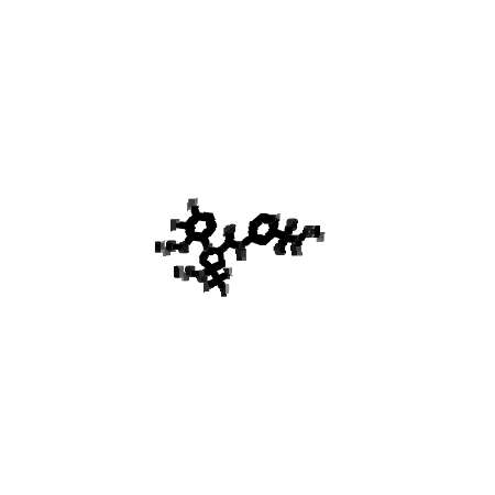 CNS(=O)(=O)c1cc(NC(=O)[C@H]2C[C@](OC)(C(F)(F)F)CN2c2ccc(F)c(F)c2OC)ccn1